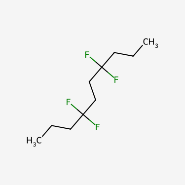 CCCC(F)(F)CCC(F)(F)CCC